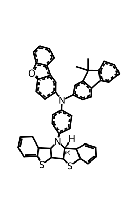 CC1(C)c2ccccc2-c2ccc(N(c3ccc(N4C5C6CC=CC=C6SC5C5SC6C=CC=CC6[C@H]54)cc3)c3ccc4oc5ccccc5c4c3)cc21